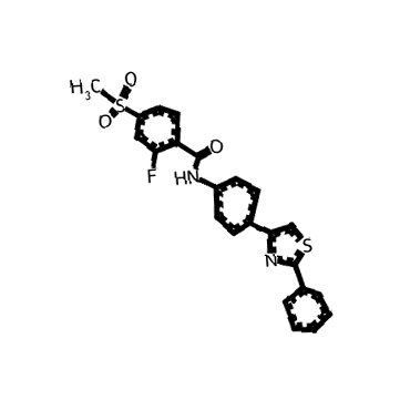 CS(=O)(=O)c1ccc(C(=O)Nc2ccc(-c3csc(-c4ccccc4)n3)cc2)c(F)c1